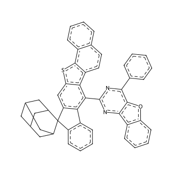 c1ccc(-c2nc(-c3c4c(cc5sc6c7ccccc7ccc6c35)C3(c5ccccc5-4)C4CC5CC(C4)CC3C5)nc3c2oc2ccccc23)cc1